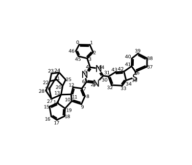 c1ccc(-c2nc(-c3ccc4c(c3)C3(c5ccccc5-4)C4CC5CC(C4)CC3C5)nc(-c3ccc4sc5ccccc5c4c3)n2)cc1